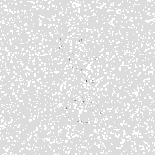 Cc1cccc2c1CC(C(=O)OC13CC4CC(CC(C4)C1)C3)C2=O